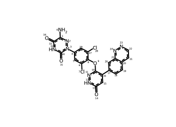 Nc1nn(-c2cc(Cl)c(Oc3n[nH]c(=O)cc3-c3ccc4ccnnc4c3)c(Cl)c2)c(=O)[nH]c1=O